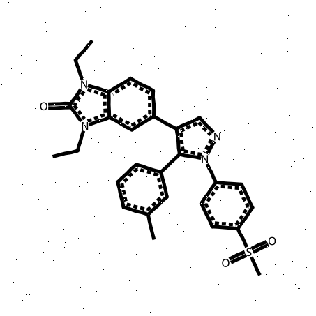 CCn1c(=O)n(CC)c2cc(-c3cnn(-c4ccc(S(C)(=O)=O)cc4)c3-c3cccc(C)c3)ccc21